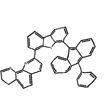 C1=Nc2c(ccc3ccc(-c4cccc5c4sc4c(-c6c7ccccc7c(-c7ccccc7)c7ccccc67)cccc45)nc23)CC1